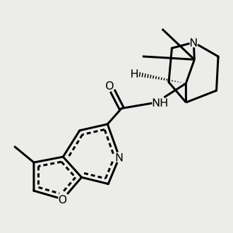 Cc1coc2cnc(C(=O)N[C@@H]3C4CCN(CC4)C3(C)C)cc12